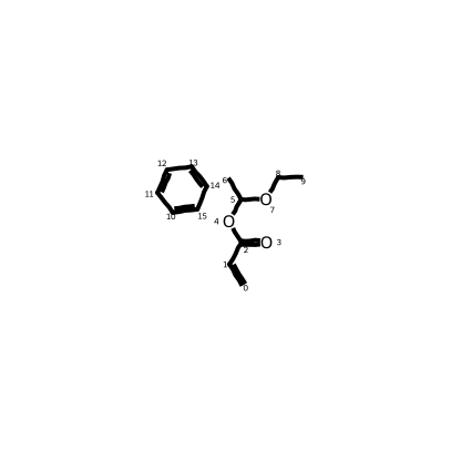 C=CC(=O)OC(C)OCC.c1ccccc1